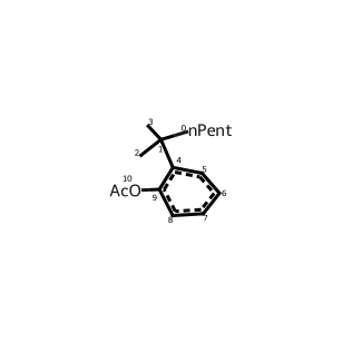 CCCCCC(C)(C)c1ccccc1OC(C)=O